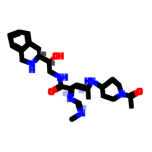 C\N=C/N=C(\C=C(/C)NC1CCN(C(C)=O)CC1)C(=O)NC[C@@H](O)[C@@H]1Cc2ccccc2CN1